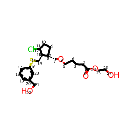 O=C(CCCCOC[C@H]1CCC(Cl)[C@@H]1CSc1cccc(CO)c1)OCCO